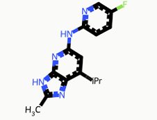 Cc1nc2c(C(C)C)cc(Nc3ccc(F)cn3)nc2[nH]1